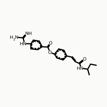 CCC(C)NC(=O)C=Cc1ccc(OC(=O)c2ccc(NC(=N)N)cc2)cc1